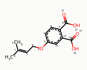 CC(C)=CCOc1ccc(C(=O)O)c(C(=O)O)c1